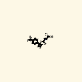 O=C(O)/C=C/C(=O)OC1(c2ccc(C(F)F)cc2)CCC1